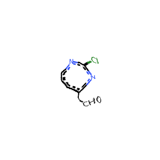 O=Cc1ccnc(Cl)n1